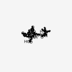 CCC[CH2][Sn]([CH2]CCC)([CH2]CCC)[c]1cncc(C(=O)NCCCCC(NC(=O)NC(CCC(=O)O)C(=O)OC(Cc2ccc(OC)cc2)c2ccc(OC)cc2)C(=O)OCc2ccc(OC)cc2)c1